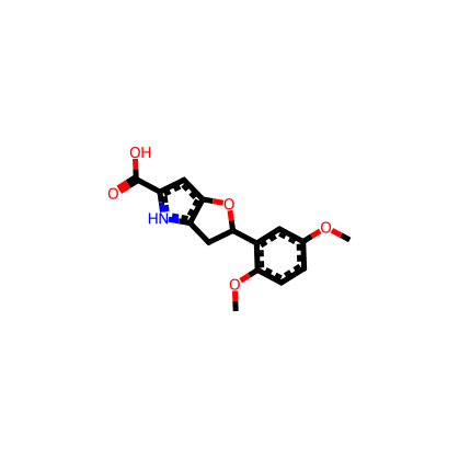 COc1ccc(OC)c(C2Cc3[nH]c(C(=O)O)cc3O2)c1